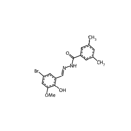 COc1cc(Br)cc(/C=N/NC(=O)c2cc(C)cc(C)c2)c1O